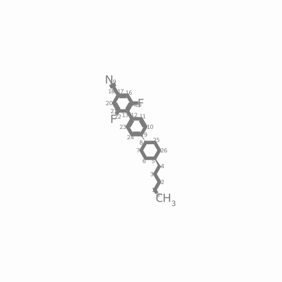 CCCCC[C@H]1CC[C@H](c2ccc(-c3c(F)cc(C#N)cc3F)cc2)CC1